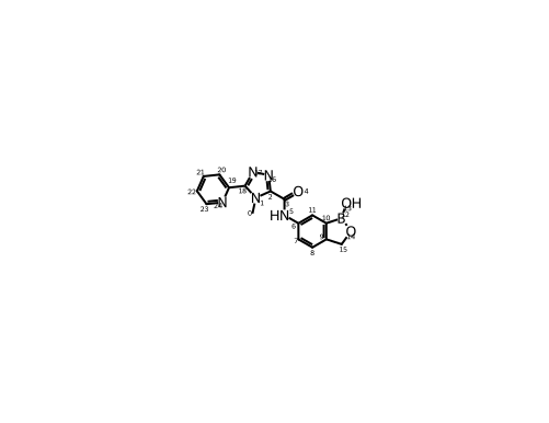 Cn1c(C(=O)Nc2ccc3c(c2)B(O)OC3)nnc1-c1ccccn1